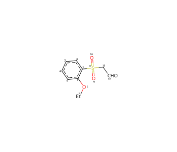 CCOc1cc[c]cc1S(=O)(=O)CC=O